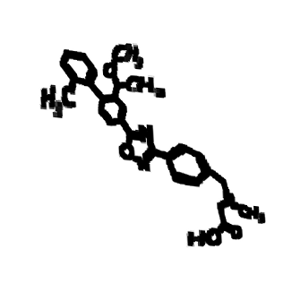 COC(C)c1cc(-c2nc(-c3ccc(CN(C)CC(=O)O)cc3)no2)ccc1-c1ccccc1C